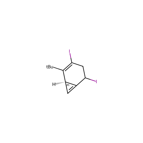 CC(C)(C)C1=C(I)CC(I)C2=C[C@H]21